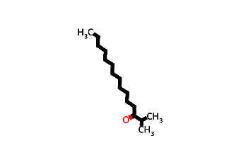 CCCCCCCCCCCCC(=O)C(C)C